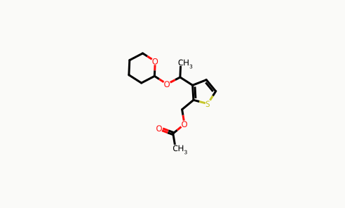 CC(=O)OCc1sccc1C(C)OC1CCCCO1